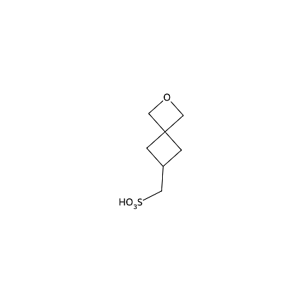 O=S(=O)(O)CC1CC2(COC2)C1